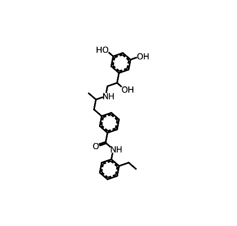 CCc1ccccc1NC(=O)c1cccc(CC(C)NCC(O)c2cc(O)cc(O)c2)c1